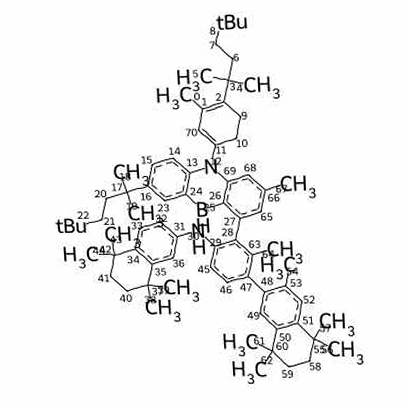 CC1=C(C(C)(C)CCC(C)(C)C)CCC(N2c3ccc(C(C)(C)CCC(C)(C)C)cc3Bc3c(-c4c(Nc5ccc6c(c5)C(C)(C)CCC6(C)C)ccc(-c5cc6c(cc5C)C(C)(C)CCC6(C)C)c4C)cc(C)cc32)=C1